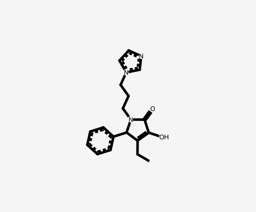 CCC1=C(O)C(=O)N(CCCn2ccnc2)C1c1ccccc1